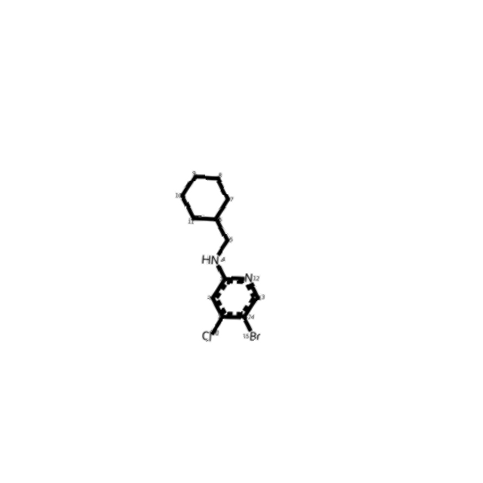 Clc1cc(NCC2CCCCC2)ncc1Br